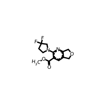 COC(=O)c1cc2c(nc1N1CCC(F)(F)C1)COC2